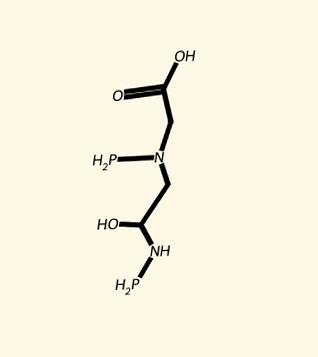 O=C(O)CN(P)CC(O)NP